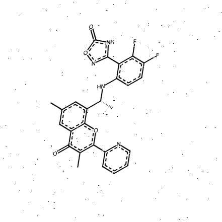 Cc1cc([C@@H](C)Nc2ccc(F)c(F)c2-c2noc(=O)[nH]2)c2oc(-c3ccccn3)c(C)c(=O)c2c1